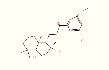 COc1cc(OC)cc(C(=O)CC[C@@H]2[C@@]3(C)CCCC(C)(C)[C@@H]3CC[C@@]2(C)O)c1